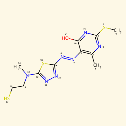 CSc1nc(C)c(/N=N/c2nnc(N(C)CCS)s2)c(O)n1